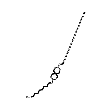 C=C=C=C=C=C=C=C=C=C=C=C=C=C=C=C=C=COP1OCC2(CO1)COP(OCCCCCCCCCCCCCCCCCC)OC2